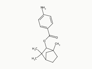 CC12CCC(C1)C(C)(C)C2OC(=O)c1ccc(N)cc1